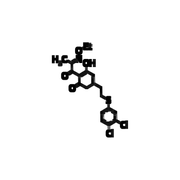 CCON=C(C)C(=O)C1=C(O)C=C(CCSc2ccc(Cl)c(Cl)c2)CC1=O